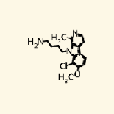 COc1ccc2c3ccnc(C)c3n(CCCCN)c2c1Cl